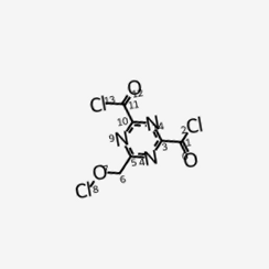 O=C(Cl)c1nc(COCl)nc(C(=O)Cl)n1